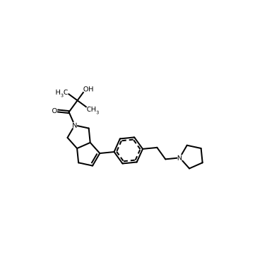 CC(C)(O)C(=O)N1CC2CC=C(c3ccc(CCN4CCCC4)cc3)C2C1